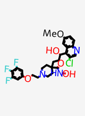 COc1ccc2ncc(Cl)c([C@H](O)CCC3(C(=O)NO)CCN(CCOc4cc(F)c(F)c(F)c4)CC3)c2c1